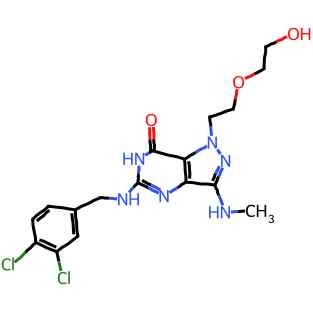 CNc1nn(CCOCCO)c2c(=O)[nH]c(NCc3ccc(Cl)c(Cl)c3)nc12